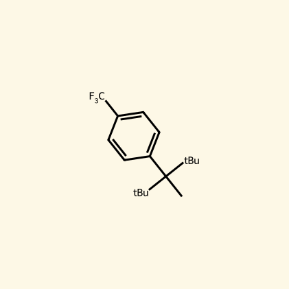 CC(C)(C)C(C)(c1ccc(C(F)(F)F)cc1)C(C)(C)C